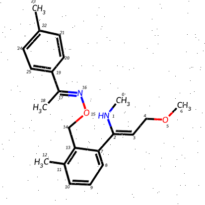 CN/C(=C\COC)c1cccc(C)c1CO/N=C(\C)c1ccc(C)cc1